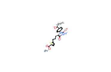 CCCCCC(=O)c1ccc(N2C(=O)NC(=O)C2CCCc2ccc(C(=O)OC(C)C)s2)cc1